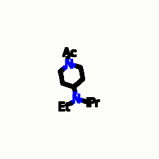 CCN(C(C)C)C1CCN(C(C)=O)CC1